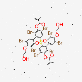 C=C(C)C(=O)Oc1c(Br)cc(S(=O)(=O)c2cc(Br)c(OC(=O)C(=C)C)c(Br)c2-c2cc(Br)c(OCCO)c(Br)c2)c(-c2cc(Br)c(OCCO)c(Br)c2)c1Br